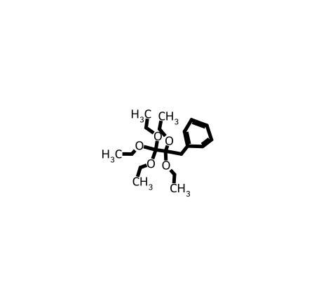 CCOC(Cc1ccccc1)(OCC)C(OCC)(OCC)OCC